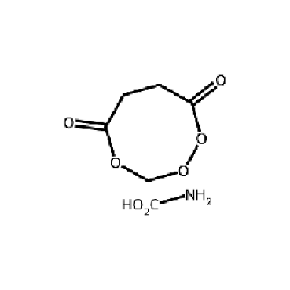 NC(=O)O.O=C1CCC(=O)OOCO1